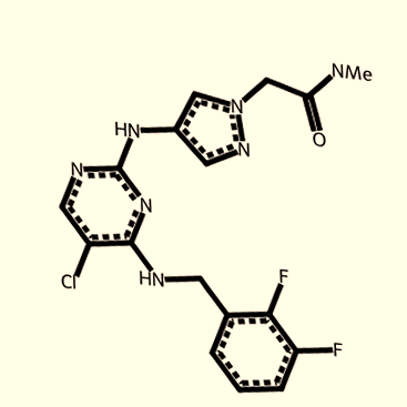 CNC(=O)Cn1cc(Nc2ncc(Cl)c(NCc3cccc(F)c3F)n2)cn1